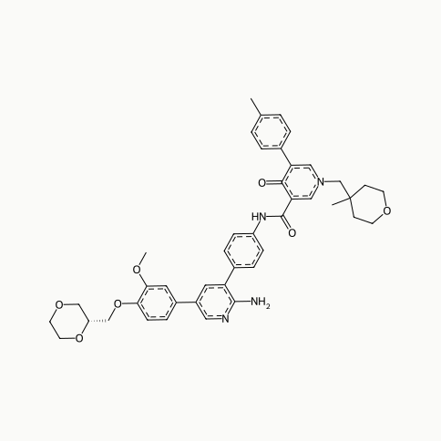 COc1cc(-c2cnc(N)c(-c3ccc(NC(=O)c4cn(CC5(C)CCOCC5)cc(-c5ccc(C)cc5)c4=O)cc3)c2)ccc1OC[C@H]1COCCO1